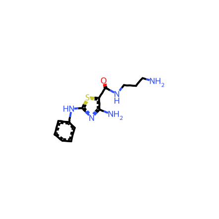 NCCCNC(=O)c1sc(Nc2ccccc2)nc1N